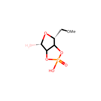 B[C@@H]1O[C@H](COC)C2OP(=O)(O)OC21